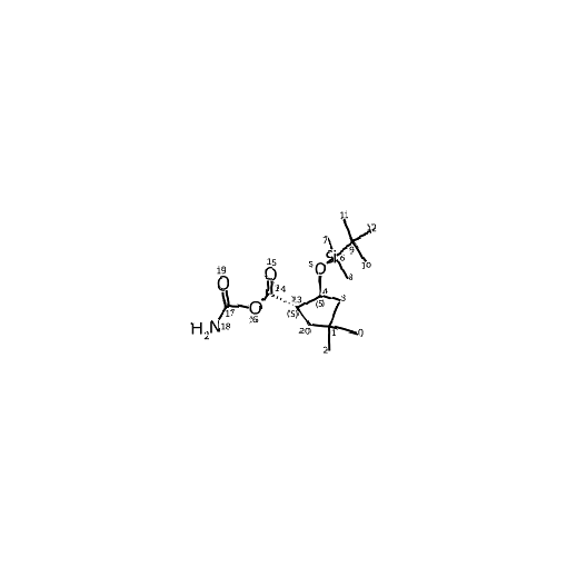 CC1(C)C[C@H](O[Si](C)(C)C(C)(C)C)[C@@H](C(=O)OC(N)=O)C1